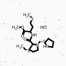 CC[C@H]1CCN(C[C@@H]2CCCN2)C1C(=O)NC(CCSC)C(=O)OC.Cl